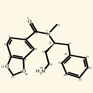 CN(C(=O)c1ccc2c(c1)OCO2)[C@H](CCN)Cc1ccccc1